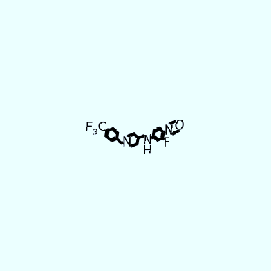 Fc1cc(NCC2CCN(Cc3ccc(C(F)(F)F)cc3)CC2)ccc1N1CCOCC1